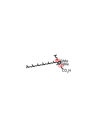 C=C(C)CCC(=O)Oc1c(C/C=C(\C)CC/C=C(\C)CC/C=C(\C)CC/C=C(\C)CC/C=C(\C)CCC=C(C)C)c(C)c(OC(=O)CCC(=O)O)c(OC)c1OC